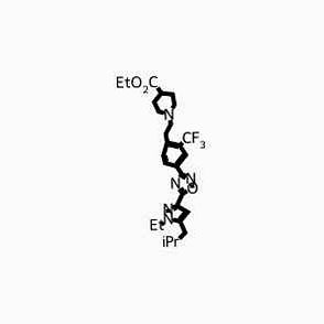 CCOC(=O)C1CCN(CCc2ccc(-c3noc(-c4cc(CC(C)C)n(CC)n4)n3)cc2C(F)(F)F)CC1